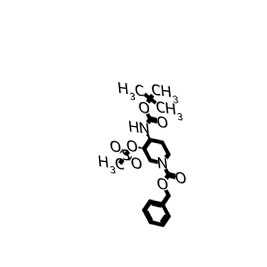 CC(C)(C)OC(=O)N[C@H]1CCN(C(=O)OCc2ccccc2)C[C@@H]1OS(C)(=O)=O